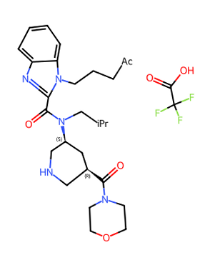 CC(=O)CCCn1c(C(=O)N(CC(C)C)[C@@H]2CNC[C@H](C(=O)N3CCOCC3)C2)nc2ccccc21.O=C(O)C(F)(F)F